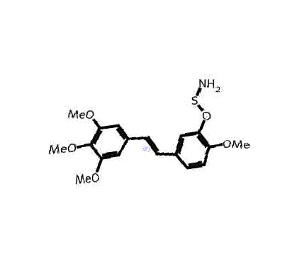 COc1ccc(/C=C/c2cc(OC)c(OC)c(OC)c2)cc1OSN